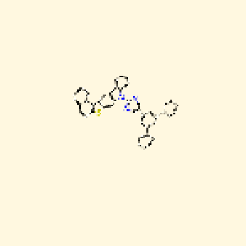 c1ccc(-c2cc(-c3ccccc3)cc(-c3cnc(-n4c5ccccc5c5cc6c(cc54)sc4ccc5ccccc5c46)nc3)c2)cc1